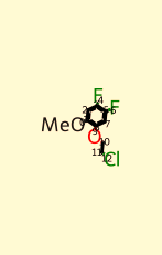 COc1cc(F)c(F)cc1OCCCl